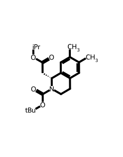 Cc1cc2c(cc1C)[C@@H](CC(=O)OC(C)C)N(C(=O)OC(C)(C)C)CC2